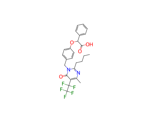 CCCCc1nc(C)c(C(F)(F)C(F)(F)F)c(=O)n1Cc1ccc(OC(C(=O)O)c2ccccc2)cc1